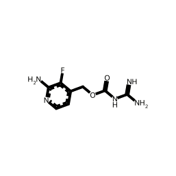 N=C(N)NC(=O)OCc1ccnc(N)c1F